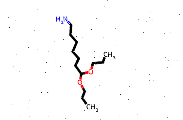 CCCOC(CCCCCCN)OCCC